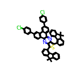 CC1(C)c2ccccc2-c2c(-c3sc(-c4cccc5c4-c4ccccc4C5(C)C)c4nc5c6ccc(-c7ccc(Cl)cc7)cc6c6cc(-c7ccc(Cl)cc7)ccc6c5nc34)cccc21